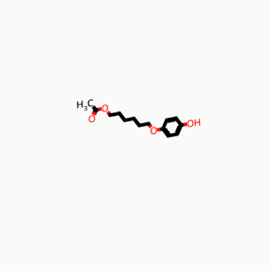 CC(=O)OCCCCCCOc1ccc(O)cc1